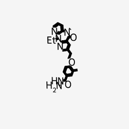 CCN1c2ncc(CCOc3ccc(C(=O)NN)cc3C)cc2C(=O)N(C)c2cccnc21